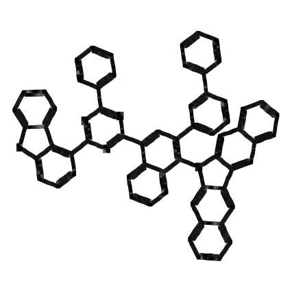 c1ccc(-c2cccc(-c3cc(-c4nc(-c5ccccc5)nc(-c5cccc6sc7ccccc7c56)n4)c4ccccc4c3-n3c4cc5ccccc5cc4c4cc5ccccc5cc43)c2)cc1